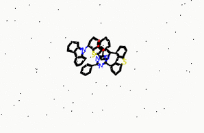 c1ccc(-c2nc(-c3ccccc3)nc(-c3cccc4sc5cccc(-c6ccc7sc8c(-n9c%10ccccc%10c%10ccccc%109)cccc8c7c6)c5c34)n2)cc1